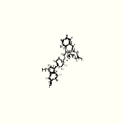 CC(C)CN1Cc2ccccc2N(CCN2CC=C(c3c[nH]c4cc(F)ccc34)CC2)S1(=O)=O